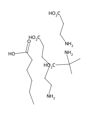 CC(C)(N)C(=O)O.CCCCCC(=O)O.NCCC(=O)O.NCCCCCC(=O)O